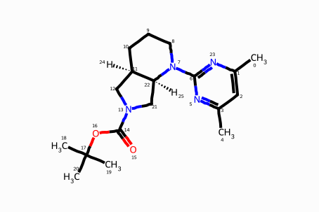 Cc1cc(C)nc(N2CCC[C@@H]3CN(C(=O)OC(C)(C)C)C[C@@H]32)n1